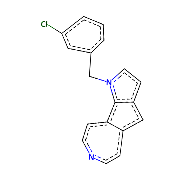 Clc1cccc(Cn2ccc3cc4ccnccc-4c32)c1